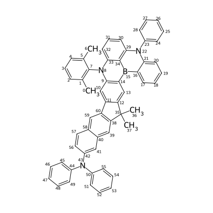 Cc1cccc(C)c1N1c2cc3c(cc2B2c4ccccc4N(c4ccccc4)c4cccc1c42)C(C)(C)c1cc2cc(N(c4ccccc4)c4ccccc4)ccc2cc1-3